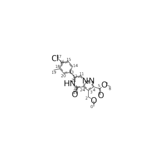 COCc1c(C(=O)OC)nn2cc(-c3ccc(Cl)c(C)c3)[nH]c(=O)c12